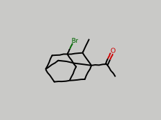 C[C]1C2(Br)CC3CC(C2)CC1(C(C)=O)C3